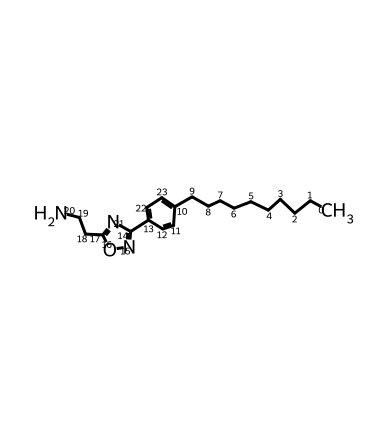 CCCCCCCCCCc1ccc(-c2noc(CCN)n2)cc1